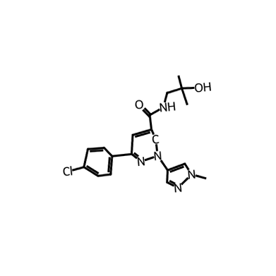 Cn1cc(N2CC(C(=O)NCC(C)(C)O)=CC(c3ccc(Cl)cc3)=N2)cn1